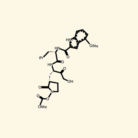 COC(=O)ON1CC[C@@H](C[C@H](NC(=O)[C@H](CC(C)C)NC(=O)c2cc3c(OC)cccc3[nH]2)C(=O)CO)C1=O